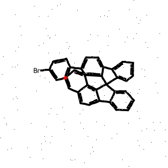 Brc1ccc(-c2ccc3c(c2)C2(c4ccccc4-3)c3ccccc3-c3ccc4ccccc4c32)cc1